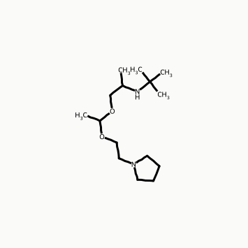 CC(COC(C)OCCN1CCCC1)NC(C)(C)C